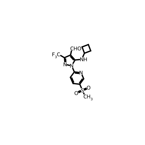 CS(=O)(=O)c1ccc(-n2nc(C(F)(F)F)c(C=O)c2NC2CCC2)nc1